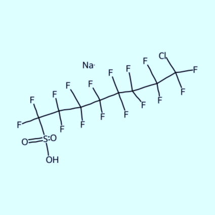 O=S(=O)(O)C(F)(F)C(F)(F)C(F)(F)C(F)(F)C(F)(F)C(F)(F)C(F)(F)C(F)(F)Cl.[Na]